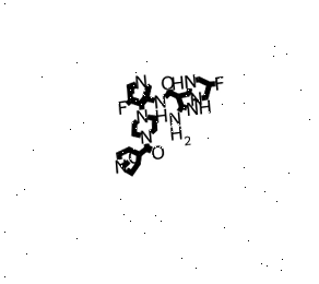 NC1NN2CC(F)CNC2C1C(=O)Nc1cncc(F)c1N1CCN(C(=O)C23CCN(CC2)CC3)CC1